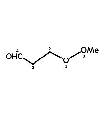 COOCCC=O